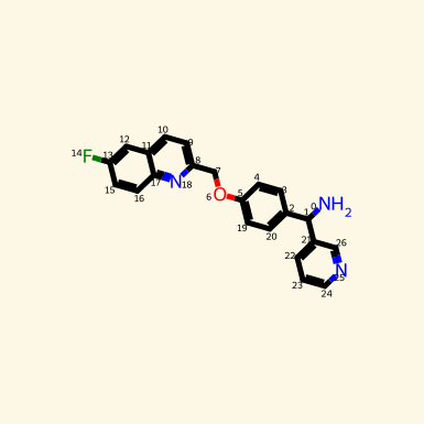 NC(c1ccc(OCc2ccc3cc(F)ccc3n2)cc1)c1cccnc1